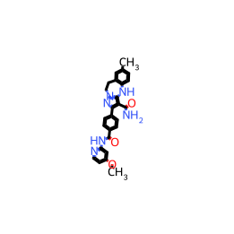 COc1ccnc(NC(=O)c2ccc(-c3nn4c(c3C(N)=O)Nc3ccc(C)cc3CC4)cc2)c1